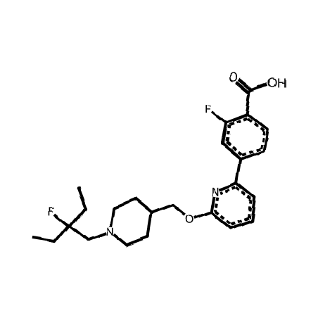 CCC(F)(CC)CN1CCC(COc2cccc(-c3ccc(C(=O)O)c(F)c3)n2)CC1